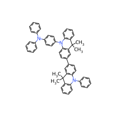 CC1(C)c2ccccc2N(c2ccccc2)c2ccc(-c3ccc4c(c3)C(C)(C)c3ccccc3N4c3ccc(N(c4ccccc4)c4ccccc4)cc3)cc21